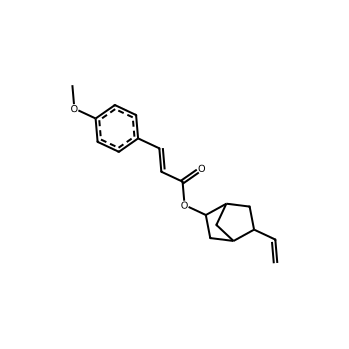 C=CC1CC2CC1CC2OC(=O)C=Cc1ccc(OC)cc1